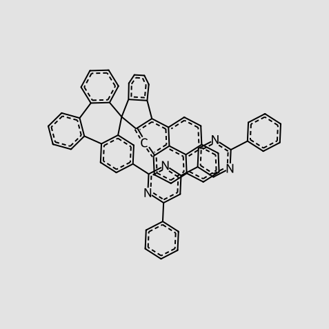 c1ccc(-c2cc(-c3cnc(-c4ccccc4)nc3)nc(-c3ccc4c(c3)C3(c5ccccc5-c5ccccc5-4)c4ccccc4-c4c3cc3ccc5cccc6ccc4c3c56)n2)cc1